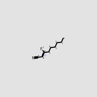 CCCCCC/C(F)=C/C#N